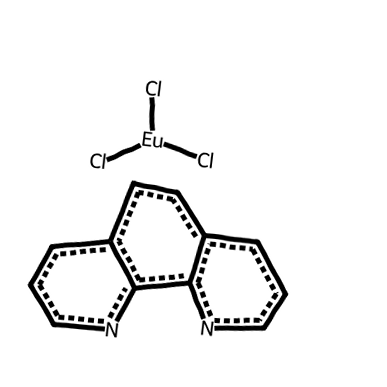 [Cl][Eu]([Cl])[Cl].c1cnc2c(c1)ccc1cccnc12